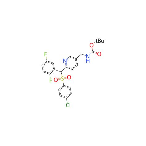 CC(C)(C)OC(=O)NCc1ccc(C(c2cc(F)ccc2F)S(=O)(=O)c2ccc(Cl)cc2)nc1